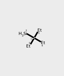 CC[I]([SiH3])(CC)CC